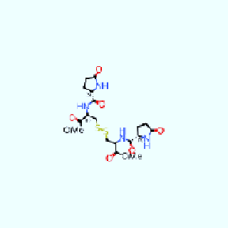 COC(=O)C(CSSC[C@H](NC(=O)[C@@H]1CCC(=O)N1)C(=O)OC)NC(=O)[C@@H]1CCC(=O)N1